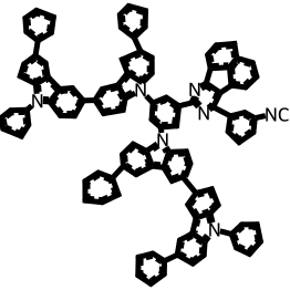 [C-]#[N+]c1cccc(-c2nc(-c3cc(-n4c5ccc(-c6ccccc6)cc5c5cc(-c6ccc7c(c6)c6cc(-c8ccccc8)ccc6n7-c6ccccc6)ccc54)cc(-n4c5ccc(-c6ccccc6)cc5c5cc(-c6ccc7c(c6)c6cc(-c8ccccc8)ccc6n7-c6ccccc6)ccc54)c3)nc3c2-c2cccc4cccc-3c24)c1